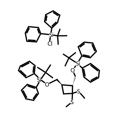 CC(C)(C)[Si](Cl)(c1ccccc1)c1ccccc1.CSC1(SC)C[C@@H](CO[Si](c2ccccc2)(c2ccccc2)C(C)(C)C)[C@@H]1CO[Si](c1ccccc1)(c1ccccc1)C(C)(C)C